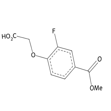 COC(=O)c1ccc(OCC(=O)O)c(F)c1